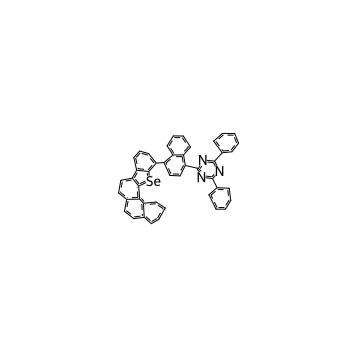 c1ccc(-c2nc(-c3ccccc3)nc(-c3ccc(-c4cccc5c4[se]c4c5ccc5ccc6ccccc6c54)c4ccccc34)n2)cc1